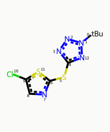 CC(C)(C)n1nnc(Sc2ncc(Cl)s2)n1